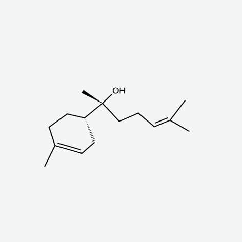 CC(C)=CCC[C@@](C)(O)[C@@H]1CC=C(C)CC1